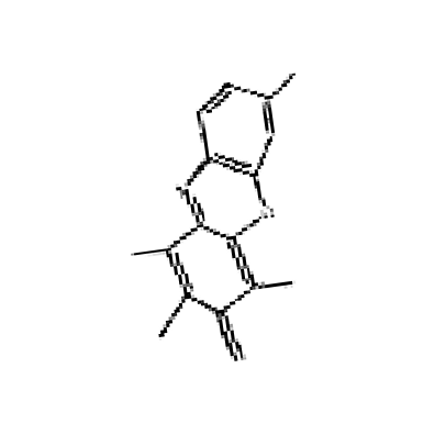 C=c1c(C)c(C)c2c(c1C)Oc1cc(C)ccc1N=2